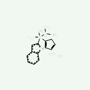 C[SiH](C)[Zr]([CH3])([CH3])([C]1=CC=CC1)[c]1cc2ccccc2[nH]1.Cl.Cl